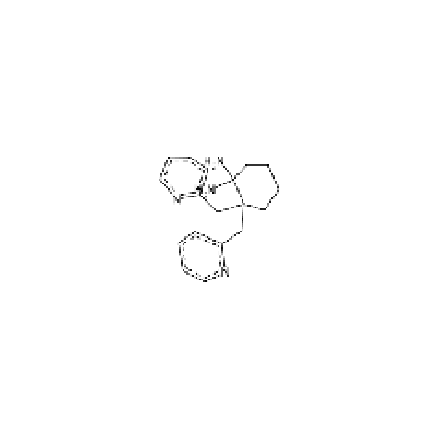 NC1(N)CCCCC1(Cc1ccccn1)Cc1ccccn1